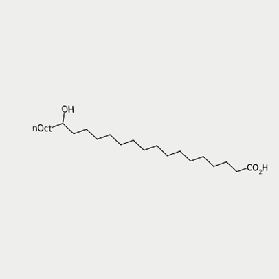 CCCCCCCCC(O)CCCCCCCCCCCCCCCC(=O)O